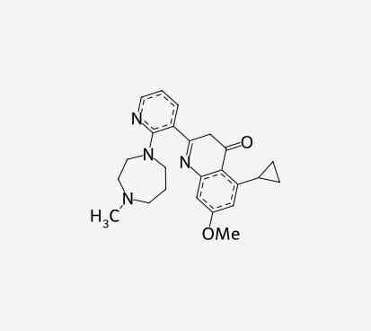 COc1cc2c(c(C3CC3)c1)C(=O)CC(c1cccnc1N1CCCN(C)CC1)=N2